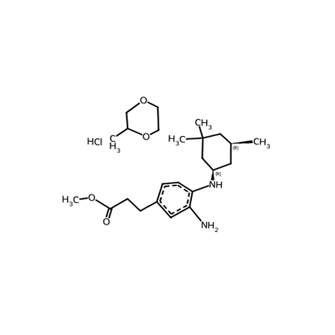 CC1COCCO1.COC(=O)CCc1ccc(N[C@@H]2C[C@H](C)CC(C)(C)C2)c(N)c1.Cl